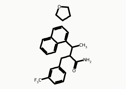 C1CCOC1.CC(c1cccc2ccccc12)C(Cc1cccc(C(F)(F)F)c1)C(N)=O